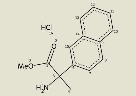 COC(=O)C(C)(N)c1ccc2ccccc2c1.Cl